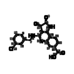 O=C1Nc2c(c(NCc3cccc(Cl)c3)nc3cc(C(=O)O)ccc23)C1=O